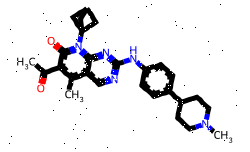 CC(=O)c1c(C)c2cnc(Nc3ccc(C4CCN(C)CC4)cc3)nc2n(C23CC(C2)C3)c1=O